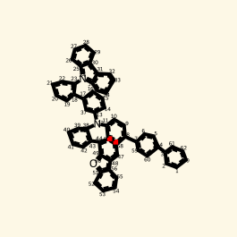 c1ccc(-c2ccc(-c3ccc(N(c4cccc(-c5ccccc5-n5c6ccccc6c6ccccc65)c4)c4ccccc4-c4cccc5c4oc4ccccc45)cc3)cc2)cc1